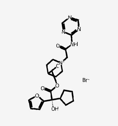 O=C(C[N+]12CCC(CC1)C(OC(=O)[C@](O)(c1ccco1)C1CCCC1)C2)Nc1ncncn1.[Br-]